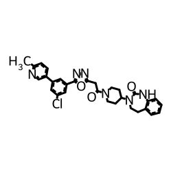 Cc1ccc(-c2cc(Cl)cc(-c3nnc(CC(=O)N4CCC(N5CCc6ccccc6NC5=O)CC4)o3)c2)cn1